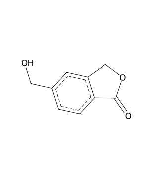 O=C1OCc2cc(CO)ccc21